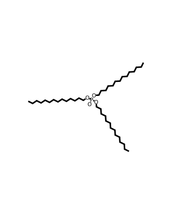 CCCCCCCCCCCCCCOP(=O)(OCCCCCCCCCCCCCC)OCCCCCCCCCCCCCC